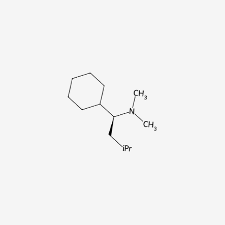 CC(C)C[C@@H](C1CCCCC1)N(C)C